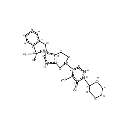 O=c1c(Cl)c(N2CCc3c(ncn3Cc3ccccc3C(F)(F)F)C2)cnn1C1CCCCO1